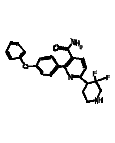 NC(=O)c1ccc(C2CCNCC2(F)F)nc1-c1ccc(Oc2ccccc2)cc1